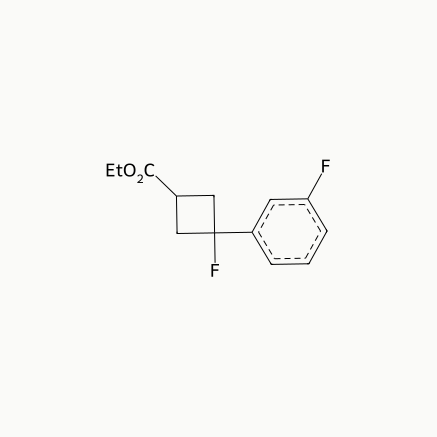 CCOC(=O)C1CC(F)(c2cccc(F)c2)C1